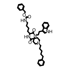 O=C(NCCCCC1NC(=O)C2(CCN(CCCCCc3ccccc3)CC2)N(CCc2c[nH]c3ccccc23)C1=O)OCc1ccccc1